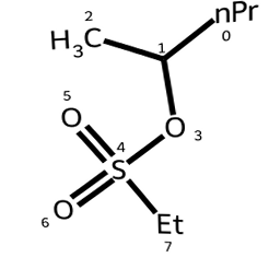 CCCC(C)OS(=O)(=O)CC